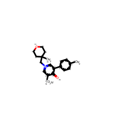 Cc1ccc(-c2cn(CC3(C)CCOCC3)cc(C(=O)O)c2=O)cc1